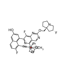 CC(C)[Si](C#Cc1c(F)ccc2cc(O)cc(-c3nc(N4CC[C@@H]4C)c4cnc(OC[C@@]56CCCN5C[C@H](F)C6)nc4c3F)c12)(C(C)C)C(C)C